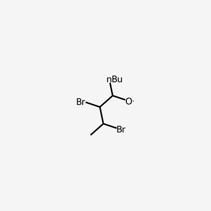 CCCCC([O])C(Br)C(C)Br